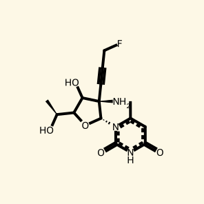 Cc1cc(=O)[nH]c(=O)n1[C@@H]1OC([C@H](C)O)C(O)[C@]1(N)C#CCF